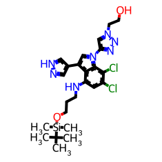 CC(C)(C)[Si](C)(C)OCCCNc1cc(Cl)c(Cl)c2c1c(-c1cn[nH]c1)cn2-c1cn(CCO)nn1